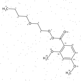 CCCCOC[CH]OOC(=O)c1ccc(OC)cc1OC